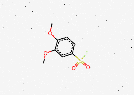 COc1ccc(S(=O)(=O)F)cc1OC